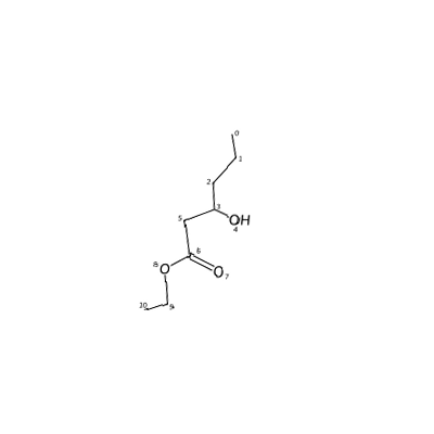 CCCC(O)CC(=O)OCC